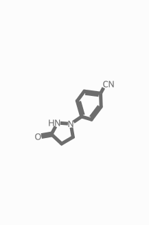 N#Cc1ccc(N2CCC(=O)N2)cc1